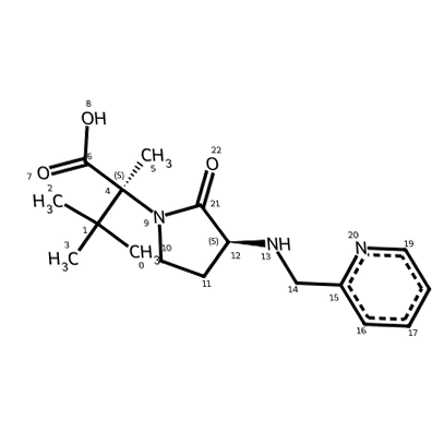 CC(C)(C)[C@@](C)(C(=O)O)N1CC[C@H](NCc2ccccn2)C1=O